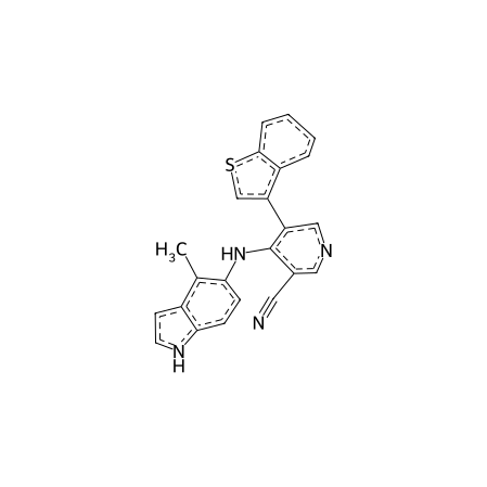 Cc1c(Nc2c(C#N)cncc2-c2csc3ccccc23)ccc2[nH]ccc12